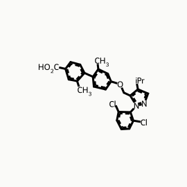 Cc1cc(OCc2c(C(C)C)cnn2-c2c(Cl)cccc2Cl)ccc1-c1ccc(C(=O)O)cc1C